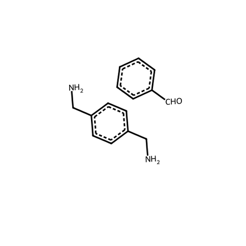 NCc1ccc(CN)cc1.O=Cc1ccccc1